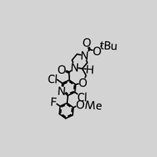 COc1cccc(F)c1-c1nc(Cl)c2c(c1Cl)OC[C@H]1CN(C(=O)OC(C)(C)C)CCN1C2=O